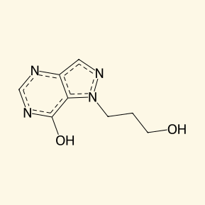 OCCCn1ncc2ncnc(O)c21